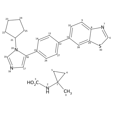 CC1(NC(=O)O)CC1.c1nc2ccc(-c3ccc(-c4cncn4C4CCCC4)cc3)cc2s1